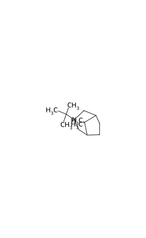 CC1(C)C2CCC1CN(C(C)(C)C)C2